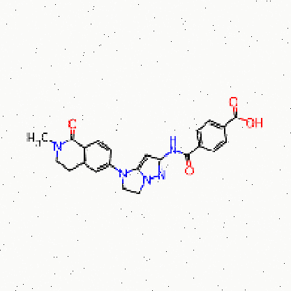 CN1CCc2cc(N3CCn4nc(NC(=O)c5ccc(C(=O)O)cc5)cc43)ccc2C1=O